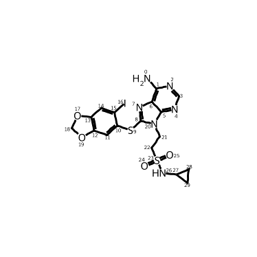 Nc1ncnc2c1nc(Sc1cc3c(cc1I)OCO3)n2CCS(=O)(=O)NC1CC1